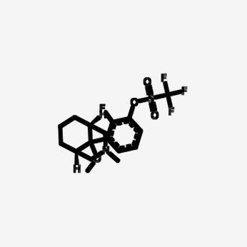 COC1(c2cccc(OS(=O)(=O)C(F)(F)F)c2F)[C@@H]2CCC[C@H]1CN(C)C2